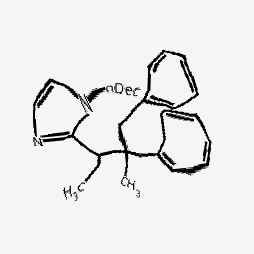 CCCCCCCCCCn1ccnc1C(C)C(C)(Cc1ccccc1)c1ccccc1